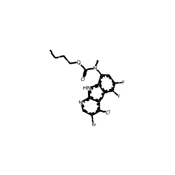 CCCCOC(=O)N(C)c1cc(F)c(F)c2c1[nH]c1ncc(Br)c(Cl)c12